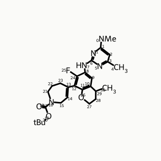 CNc1cc(C)nc(Nc2cc3c(c(C4=CCN(C(=O)OC(C)(C)C)CCC4)c2F)OCCC3C)n1